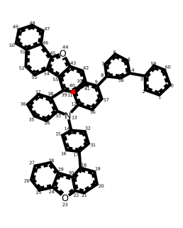 c1ccc(-c2cccc(-c3ccc(N(c4ccc(-c5cccc6oc7ccccc7c56)cc4)c4ccccc4-c4cccc5oc6c7ccccc7ccc6c45)cc3)c2)cc1